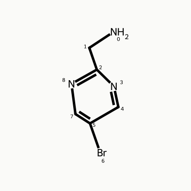 NCc1ncc(Br)cn1